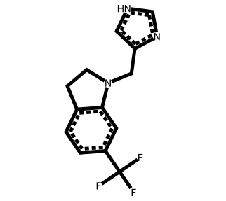 FC(F)(F)c1ccc2c(c1)N(Cc1c[nH]cn1)CC2